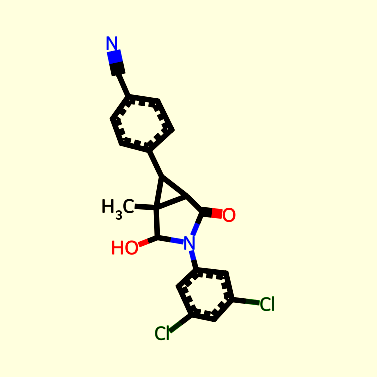 CC12C(C(=O)N(c3cc(Cl)cc(Cl)c3)C1O)C2c1ccc(C#N)cc1